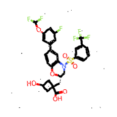 O=C(O)C1(C[C@H]2CN(S(=O)(=O)c3cccc(C(F)(F)F)c3)c3cc(-c4cc(F)cc(OC(F)F)c4)ccc3O2)CC(O)C1